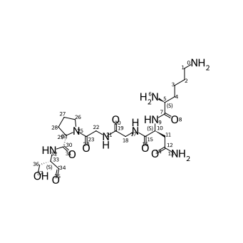 NCCCC[C@H](N)C(=O)N[C@@H](CC(N)=O)C(=O)NCC(=O)NCC(=O)N1CCC[C@H]1C(=O)N[C@H]([C]=O)CO